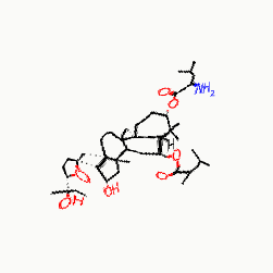 CC(C)C(C)C(=O)O[C@H]1CC2C3(CC[C@]4(C)[C@@H]([C@@]5(C)CC[C@@H](C(C)(C)O)O5)[C@@H](O)C[C@@]24C)C[C@@]32CC[C@H](OC(=O)C(N)C(C)C)C(C)(C)[C@H]12